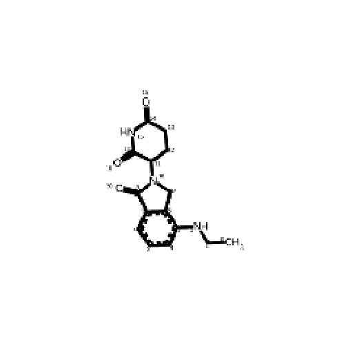 CCNc1cccc2c1CN(C1CCC(=O)NC1=O)C2=O